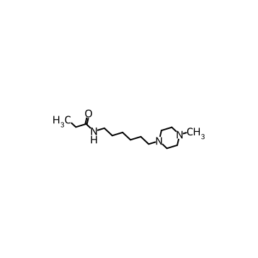 CCC(=O)NCCCCCCN1CCN(C)CC1